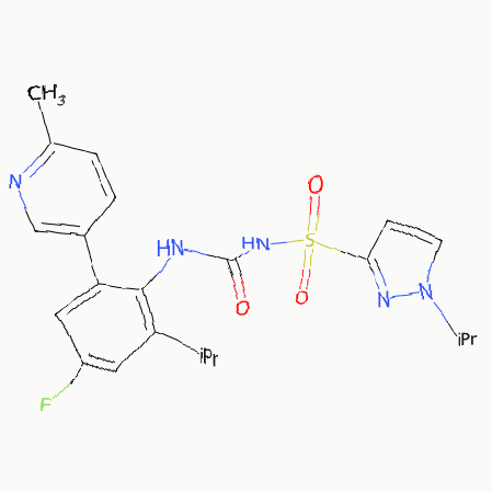 Cc1ccc(-c2cc(F)cc(C(C)C)c2NC(=O)NS(=O)(=O)c2ccn(C(C)C)n2)cn1